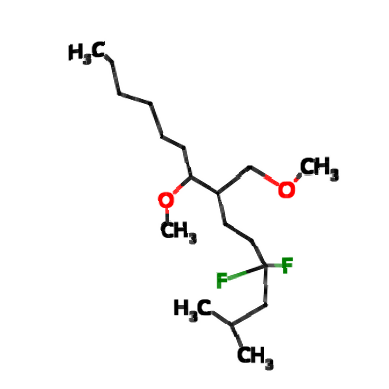 CCCCCCC(OC)C(CCC(F)(F)CC(C)C)COC